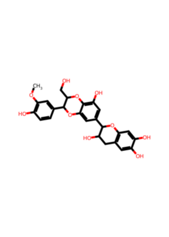 COc1cc(C2Oc3cc(C4Oc5cc(O)c(O)cc5CC4O)cc(O)c3OC2CO)ccc1O